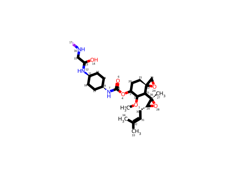 COC1C(OC(=O)N[C@H]2CC[C@H](NC(O)CNI)CC2)CC[C@]2(CO2)C1[C@@]1(C)O[C@@H]1CC=C(C)C